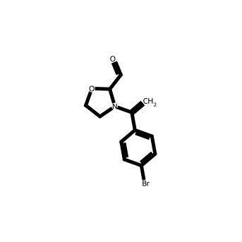 C=C(c1ccc(Br)cc1)N1CCOC1C=O